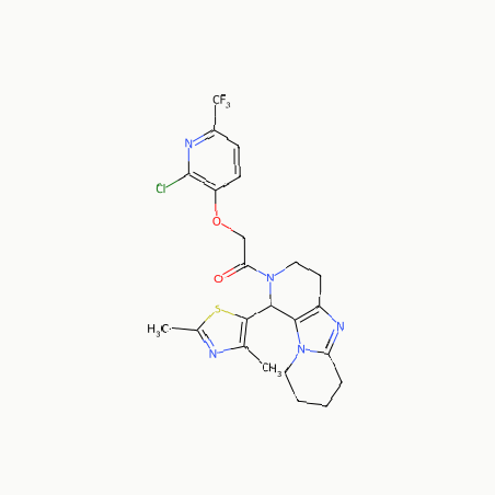 Cc1nc(C)c(C2c3c(nc4n3CCCC4)CCN2C(=O)COc2ccc(C(F)(F)F)nc2Cl)s1